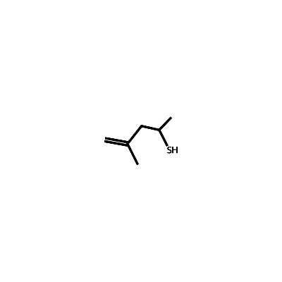 C=C(C)CC(C)S